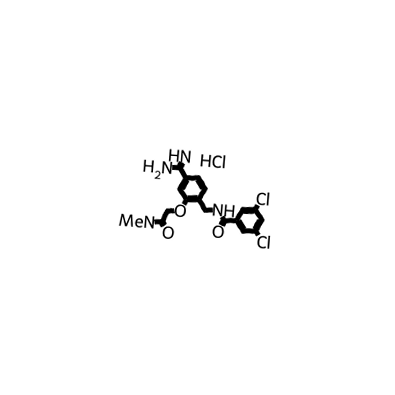 CNC(=O)COc1cc(C(=N)N)ccc1CNC(=O)c1cc(Cl)cc(Cl)c1.Cl